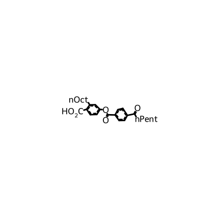 CCCCCCCCc1cc(OC(=O)c2ccc(C(=O)CCCCC)cc2)ccc1C(=O)O